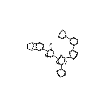 Fc1cc(-c2nc(-c3ccccc3)nc(-c3cccc(-c4cccc(-c5ccccc5)c4)c3)n2)cnc1-c1ccc2c(c1)C1CCC2C1